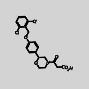 O=C(O)CC(=O)N1CCOC(c2ccc(OCc3c(Cl)cccc3Cl)cc2)C1